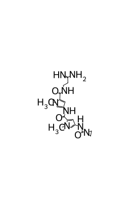 Cn1cc(NC(=O)c2cc(NC(=O)N3CC3)cn2C)cc1C(=O)NCCC(=N)N